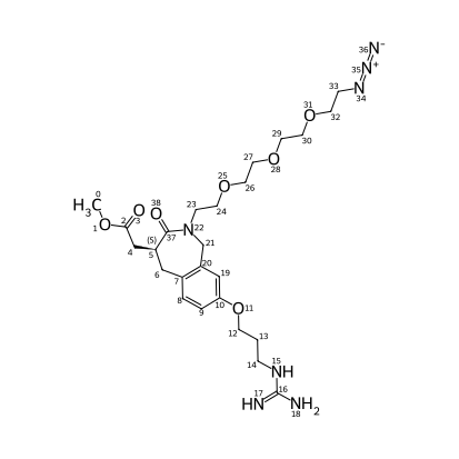 COC(=O)C[C@@H]1Cc2ccc(OCCCNC(=N)N)cc2CN(CCOCCOCCOCCN=[N+]=[N-])C1=O